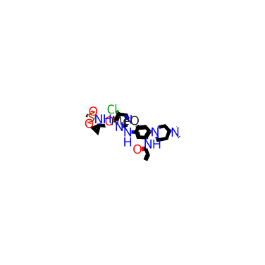 C=CC(=O)Nc1cc(Nc2ncc(Cl)c(OCC3(NS(C)(=O)=O)CC3)n2)c(OC)cc1N1CCC(N(C)C)CC1